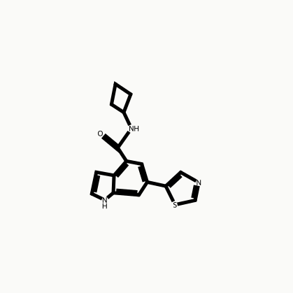 O=C(NC1CCC1)c1cc(-c2cncs2)cc2[nH]ccc12